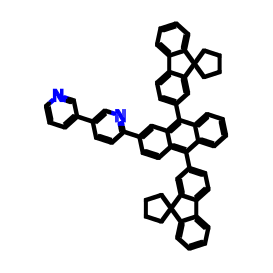 c1cncc(-c2ccc(-c3ccc4c(-c5ccc6c(c5)C5(CCCC5)c5ccccc5-6)c5ccccc5c(-c5ccc6c(c5)C5(CCCC5)c5ccccc5-6)c4c3)nc2)c1